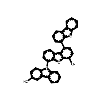 N#Cc1ccc2c(c1)c1ccccc1n2-c1cccc2c1oc1c(C#N)ccc(-c3cccc4c3oc3ccccc34)c12